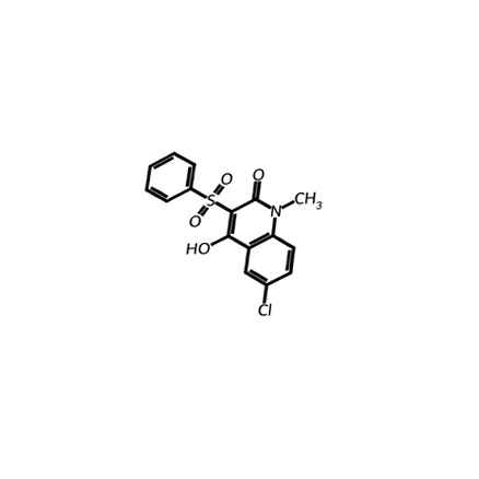 Cn1c(=O)c(S(=O)(=O)c2ccccc2)c(O)c2cc(Cl)ccc21